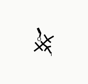 C=COC(C(C)(C)C)(C(C)(C)C)C(C)(C)I